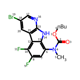 CCCCOC(=O)N(C)c1cc(F)c(F)c2c1[nH]c1ncc(Br)cc12